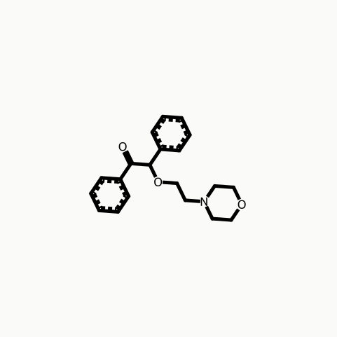 O=C(c1ccccc1)C(OCCN1CCOCC1)c1ccccc1